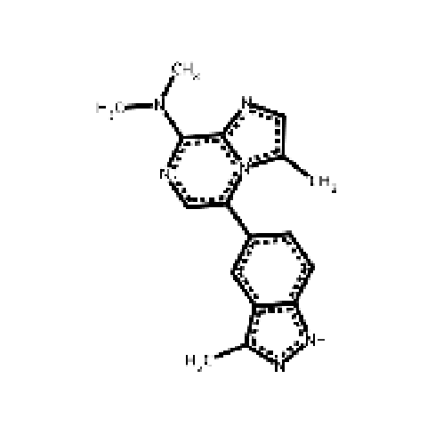 Cc1n[nH]c2ccc(-c3cnc(N(C)C)c4ncc(C)n34)cc12